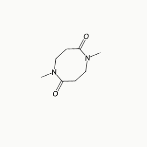 CN1CCC(=O)N(C)CCC1=O